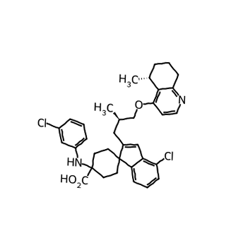 C[C@@H](COc1ccnc2c1[C@H](C)CCC2)CC1=Cc2c(Cl)cccc2C12CCC(Nc1cccc(Cl)c1)(C(=O)O)CC2